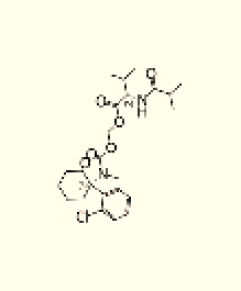 CC(C)C(=O)N[C@H](C(=O)OCOC(=O)N(C)[C@]1(c2ccccc2Cl)CCCCC1=O)C(C)C